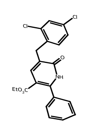 CCOC(=O)c1cc(Cc2ccc(Cl)cc2Cl)c(=O)[nH]c1-c1ccccc1